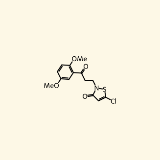 COc1ccc(OC)c(C(=O)CCn2sc(Cl)cc2=O)c1